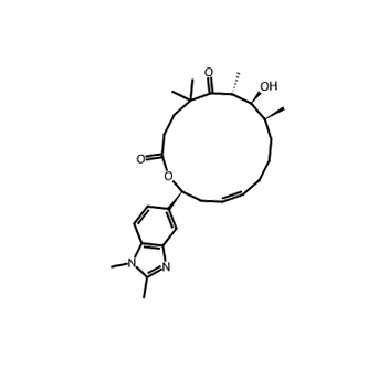 Cc1nc2cc([C@@H]3CC=CCCC[C@H](C)[C@H](O)[C@@H](C)C(=O)C(C)(C)CCC(=O)O3)ccc2n1C